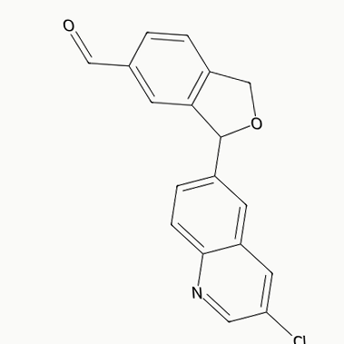 O=Cc1ccc2c(c1)C(c1ccc3ncc(Cl)cc3c1)OC2